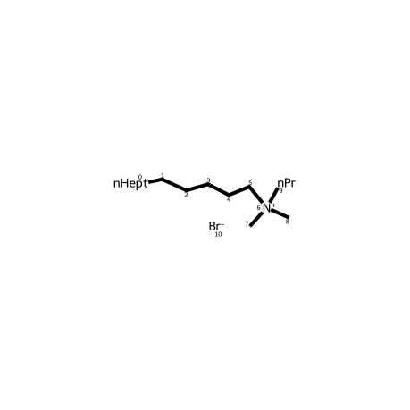 CCCCCCCCCCCC[N+](C)(C)CCC.[Br-]